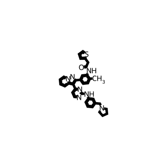 Cc1ccc(-c2nn3ccccc3c2-c2ccnc(Nc3cccc(CN4CCCC4)c3)n2)cc1NC(=O)Cc1cccs1